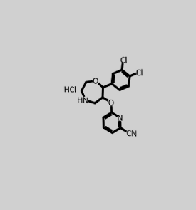 Cl.N#Cc1cccc(OC2CNCCOC2c2ccc(Cl)c(Cl)c2)n1